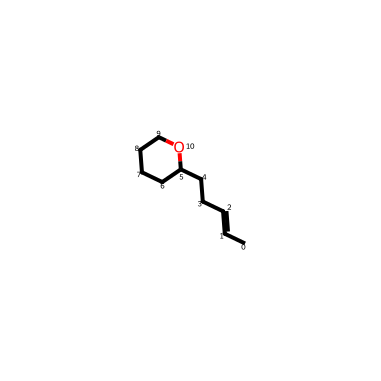 CC=CCCC1CCCCO1